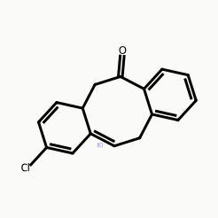 O=C1CC2C=CC(Cl)=C/C2=C/Cc2ccccc21